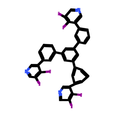 Ic1cncc(-c2cccc(-c3cc(-c4cccc(-c5cncc(I)c5I)c4)cc(-c4cccc(-c5cncc(I)c5I)c4)c3)c2)c1I